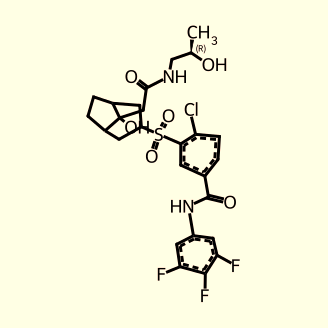 C[C@@H](O)CNC(=O)CC1(O)C2CCC1CC(S(=O)(=O)c1cc(C(=O)Nc3cc(F)c(F)c(F)c3)ccc1Cl)C2